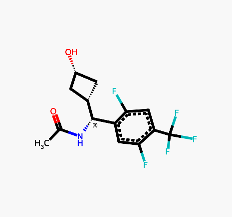 CC(=O)N[C@@H](c1cc(F)c(C(F)(F)F)cc1F)[C@H]1C[C@@H](O)C1